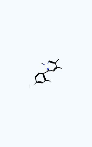 CCc1ccc(-c2cc(C)c(C)c[n+]2C)c(C)c1